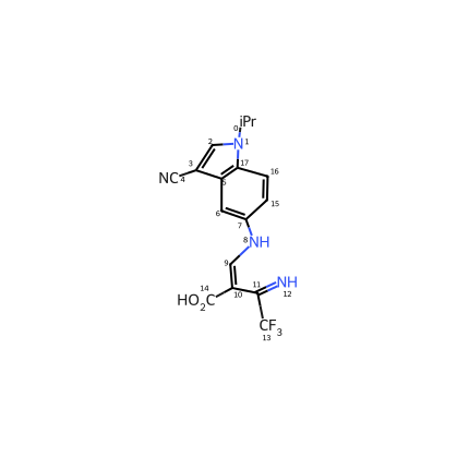 CC(C)n1cc(C#N)c2cc(N/C=C(\C(=N)C(F)(F)F)C(=O)O)ccc21